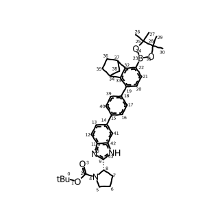 CC(C)(C)OC(=O)N1CCC[C@H]1c1nc2ccc(-c3ccc(-c4ccc(B5OC(C)(C)C(C)(C)O5)c5c4C4CCC5C4)cc3)cc2[nH]1